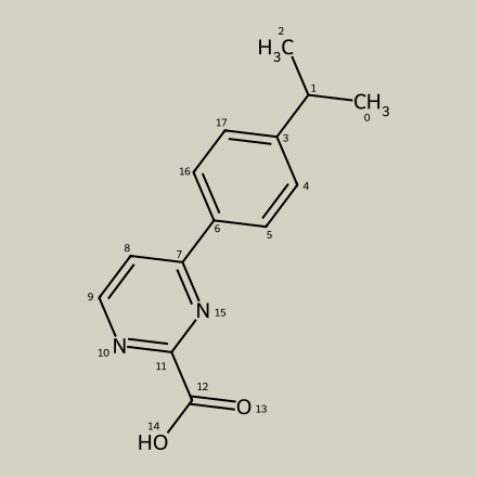 CC(C)c1ccc(-c2ccnc(C(=O)O)n2)cc1